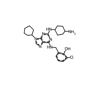 NC1CCC(Nc2nc(NCc3cccc(Cl)c3O)c3ncn(C4CCCCC4)c3n2)CC1